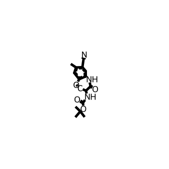 Cc1cc2c(cc1C#N)NC(=O)C(NC(=O)OC(C)(C)C)CO2